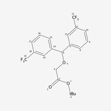 CC(C)(C)OC(=O)COC(c1cccc(C(F)(F)F)c1)c1cccc(C(F)(F)F)c1